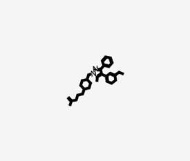 C=C(C)CCCC1CCC(Cn2nc(-c3ccccc3)c(C3=CCCC(CC)=C3)c2C)CC1